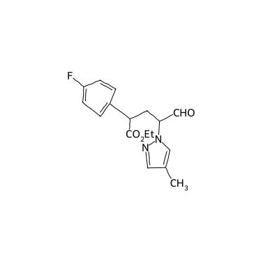 CCOC(=O)C(CC(C=O)n1cc(C)cn1)c1ccc(F)cc1